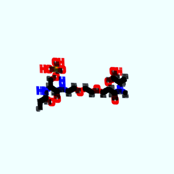 CCC(=O)NC(COP(=O)(O)O)C(=O)NCCOCCOCCC(=O)N(C)C(C)C(=O)O